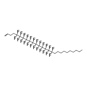 C=CCCC(F)(F)C(F)(F)C(F)(F)C(F)(F)C(F)(F)C(F)(F)C(F)(F)C(F)(F)C(F)(F)C(F)(F)C(F)(F)C(F)(F)CCCCCCCCCC